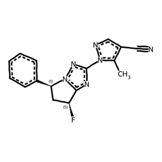 Cc1c(C#N)cnn1-c1nc2n(n1)[C@H](c1ccccc1)C[C@@H]2F